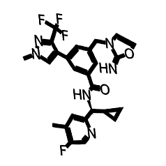 Cc1cc([C@@H](NC(=O)c2cc(Cn3ccoc3=N)cc(-c3cn(C)nc3C(F)(F)F)c2)C2CC2)ncc1F